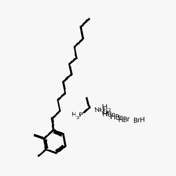 Br.Br.Br.Br.CCCCCCCCCCCCc1cccc(C)c1C.CCP.N.O